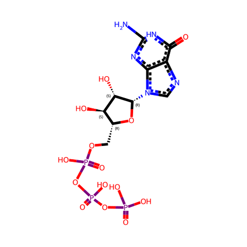 Nc1nc2c(ncn2[C@@H]2O[C@H](COP(=O)(O)OP(=O)(O)OP(=O)(O)O)[C@@H](O)[C@@H]2O)c(=O)[nH]1